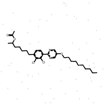 CCCCCCCCCCOc1cnc(-c2ccc(CCCCCC(C)OC(C)=O)c(Cl)c2Cl)nc1